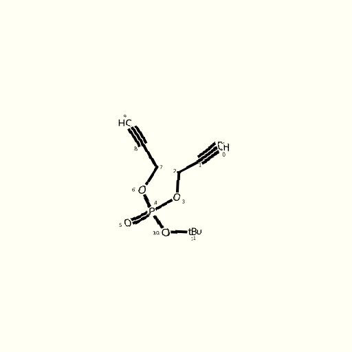 C#CCOP(=O)(OCC#C)OC(C)(C)C